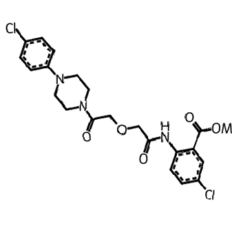 COC(=O)c1cc(Cl)ccc1NC(=O)COCC(=O)N1CCN(c2ccc(Cl)cc2)CC1